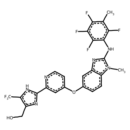 Cc1c(F)c(F)c(F)c(Nc2nc3cc(Oc4ccnc(-c5nc(CO)c(C(F)(F)F)[nH]5)c4)ccc3n2C)c1F